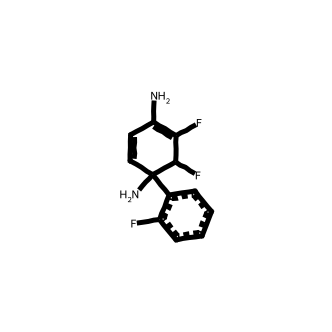 NC1=C(F)C(F)C(N)(c2ccccc2F)C=C1